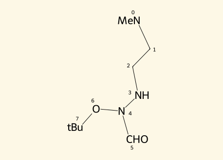 CNCCNN(C=O)OC(C)(C)C